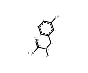 CN(Cc1cccc(Cl)c1)C(=N)N